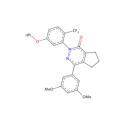 CCCOc1ccc(C(F)(F)F)c(-n2nc(-c3cc(OC)cc(OC)c3)c3c(c2=O)CCC3)c1